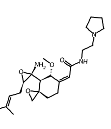 CO[C@@H]1/C(=C\C(=O)NCCN2CCCC2)CC[C@]2(CO2)[C@H]1[C@@]1(N)O[C@@H]1CC=C(C)C